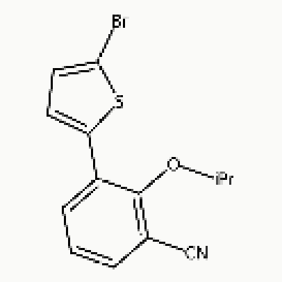 CC(C)Oc1c(C#N)cccc1-c1ccc(Br)s1